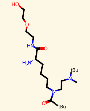 CN(CCN(CCCC[C@H](N)C(=O)NCCOCCO)C(=O)C(C)(C)C)C(C)(C)C